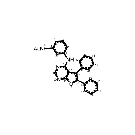 CC(=O)Nc1cccc(Nc2ncnc3oc(-c4ccccc4)c(-c4ccccc4)c23)c1